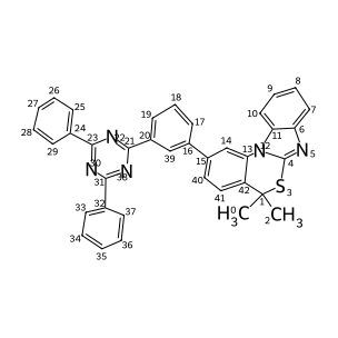 CC1(C)Sc2nc3ccccc3n2-c2cc(-c3cccc(-c4nc(-c5ccccc5)nc(-c5ccccc5)n4)c3)ccc21